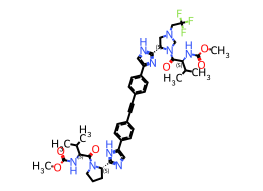 COC(=O)N[C@H](C(=O)N1CN(CC(F)(F)F)C[C@H]1c1nc(-c2ccc(C#Cc3ccc(-c4cnc([C@@H]5CCCN5C(=O)[C@@H](NC(=O)OC)C(C)C)[nH]4)cc3)cc2)c[nH]1)C(C)C